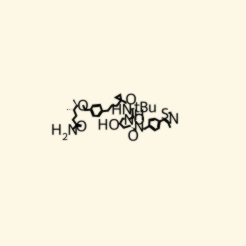 Cc1ncsc1-c1ccc(CNC(=O)[C@@H]2C[C@@H](O)CN2C(=O)[C@@H](NC(=O)C2(CCCc3ccc(CO[C@H](C)[C@@H](C)CCC(N)=O)cc3)CC2)C(C)(C)C)cc1